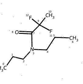 CCCN(CCC)C(=O)C(C)(F)F